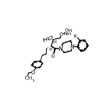 CCOc1ccc(CCC[C@@H](C(=O)N2CCN(c3ccccc3F)CC2)[C@H](O)CONO)cc1